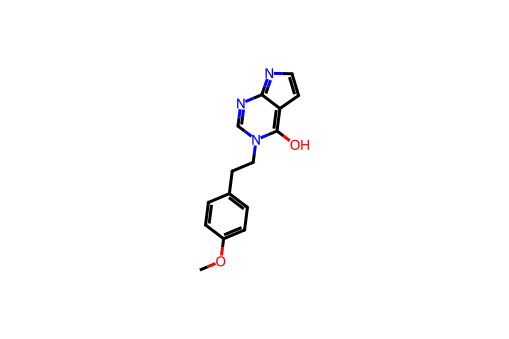 COc1ccc(CCn2cnc3nccc-3c2O)cc1